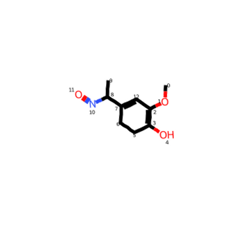 COC1=C(O)CCC(C(C)N=O)=C1